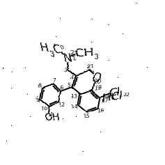 CN(C)CC1=C(c2cccc(O)c2)c2cccc(Cl)c2OC1.Cl